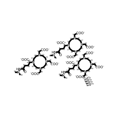 CN(C)NC(=O)CC[C@H](C(=O)[O-])N1CCN(CC(=O)[O-])CCN(CC(=O)[O-])CCN(CC(=O)[O-])CC1.CN(C)NC(=O)CC[C@H](C(=O)[O-])N1CCN(CC(=O)[O-])CCN(CC(=O)[O-])CCN(CC(=O)[O-])CC1.CN(C)NC(=O)CC[C@H](C(=O)[O-])N1CCN(CC(=O)[O-])CCN(CC(=O)[O-])CCN(CC(=O)[O-])CC1.[Gd+3].[Gd+3].[Gd+3].[Gd+3]